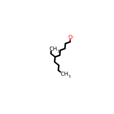 CCCCC(CC)CCCCC[O]